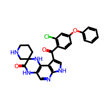 O=C(c1ccc(Oc2ccccc2)cc1Cl)c1c[nH]c2ncc3c(c12)NC1(CCCNC1)C(=O)N3